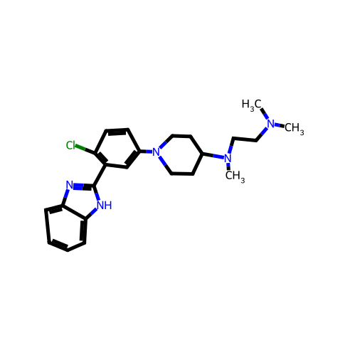 CN(C)CCN(C)C1CCN(c2ccc(Cl)c(-c3nc4ccccc4[nH]3)c2)CC1